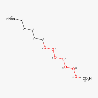 CCCCCCCCCCCCCCOOOOOOOC(=O)O